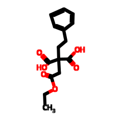 CCOC(=O)CC(CCc1ccccc1)(C(=O)O)C(=O)O